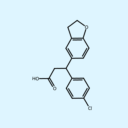 O=C(O)CC(c1ccc(Cl)cc1)c1ccc2c(c1)CCO2